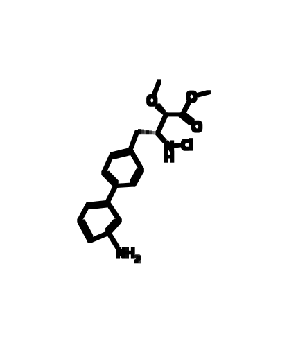 COC(=O)[C@H](OC)[C@@H](Cc1ccc(-c2cccc(N)c2)cc1)NCl